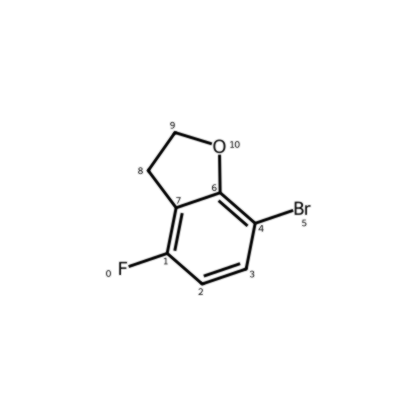 Fc1ccc(Br)c2c1CCO2